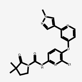 CCc1nc(NC(=O)N2CCC(C)(C)C2=O)ccc1Oc1ccnc(-c2cnn(C)c2)c1